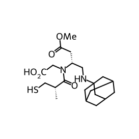 COC(=O)C[C@H](CNC12CC3CC(CC(C3)C1)C2)N(CC(=O)O)C(=O)[C@H](C)CS